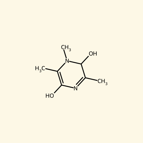 CC1=NC(O)=C(C)N(C)C1O